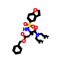 CC(C)CN(CC(C)C)C(=O)[C@H](CC(=O)OCc1ccccc1)NS(=O)(=O)c1ccc2occc2c1